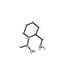 CB(O)N1CCCCC1CN